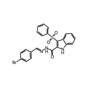 O=C(NN=Cc1ccc(Br)cc1)c1[nH]c2ccccc2c1S(=O)(=O)c1ccccc1